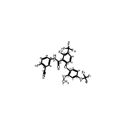 COc1cc(OC(F)(F)F)ccc1Oc1ccc(C(F)(F)F)c(F)c1C(=O)Nc1ccc(F)c(C#N)c1